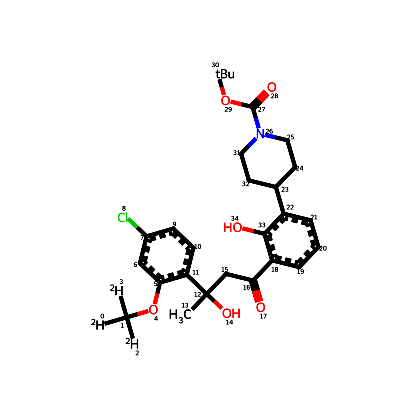 [2H]C([2H])([2H])Oc1cc(Cl)ccc1C(C)(O)CC(=O)c1cccc(C2CCN(C(=O)OC(C)(C)C)CC2)c1O